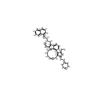 CCc1nn(CCN2CCOCC2)c2c1-c1cccc3c(CCCOc4cccc5ccccc45)c(C=O)n(c13)CCCCOC2